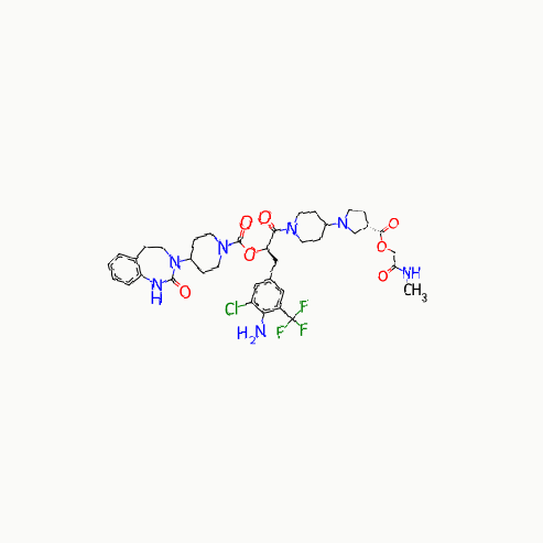 CNC(=O)COC(=O)[C@H]1CCN(C2CCN(C(=O)[C@@H](Cc3cc(Cl)c(N)c(C(F)(F)F)c3)OC(=O)N3CCC(N4CCc5ccccc5NC4=O)CC3)CC2)C1